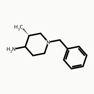 C[C@@H]1CN(Cc2ccccc2)CCC1N